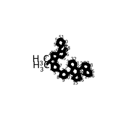 CC1(C)c2ccc(-c3cccc(-c4c5ccccc5c(-c5cccc6ccccc56)c5ccccc45)c3)cc2-c2c1ccc1c2ccc2sc3ccccc3c21